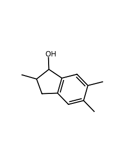 Cc1cc2c(cc1C)C(O)C(C)C2